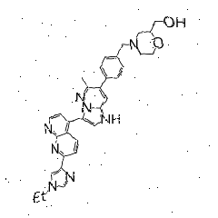 CCn1cnc(-c2ccc3c(C4=CNC5C=C(c6ccc(CN7CCOC(CO)C7)cc6)C(C)=NN45)ccnc3n2)c1